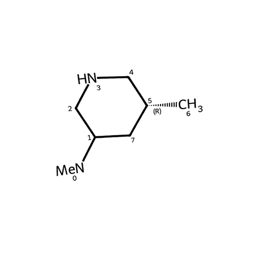 CNC1CNC[C@H](C)C1